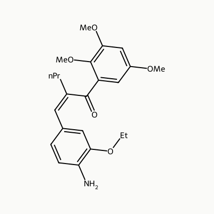 CCCC(=Cc1ccc(N)c(OCC)c1)C(=O)c1cc(OC)cc(OC)c1OC